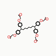 c1cc(C(CCCCCCC(c2ccc(OCC3CO3)cc2)c2ccc(OCC3CO3)cc2)c2ccc(OCC3CO3)cc2)ccc1OCC1CO1